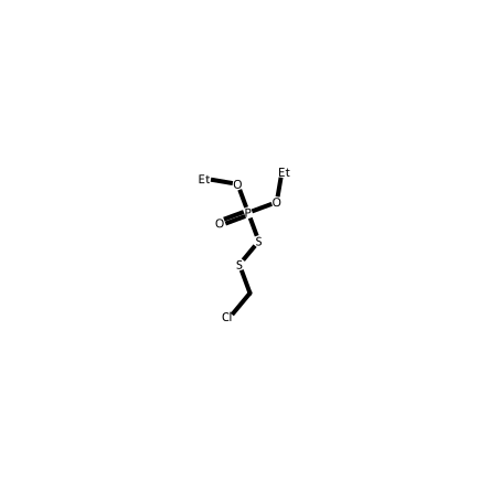 CCOP(=O)(OCC)SSCCl